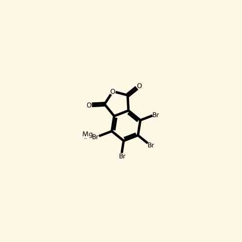 O=C1OC(=O)c2c(Br)c(Br)c(Br)c(Br)c21.[Mg]